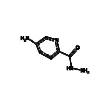 NNC(=O)c1ccc(N)cn1